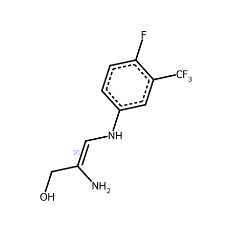 N/C(=C\Nc1ccc(F)c(C(F)(F)F)c1)CO